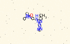 Cc1ccc2nc(N3CCN(c4ncccn4)CC3)nc(NCc3ccc(NC(=O)C4CCCCN4Cc4ccccc4)cc3)c2c1